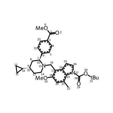 COC(=O)c1ccc([C@@H]2C[C@@H](C3CC3)CCN2Cc2c(OC)cc(C)c3c2ccn3C(=O)OC(C)(C)C)cc1